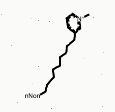 CCCCCCCCCCCCCCCCCCc1ccc[n+](C)c1